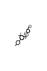 CC1CCC(C2=CC(C)(I)C=C(C(F)(F)Oc3ccc(C=O)cc3)C=C2)CC1